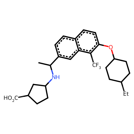 CCC1CCC(Oc2ccc3ccc(C(C)NC4CCC(C(=O)O)C4)cc3c2C(F)(F)F)CC1